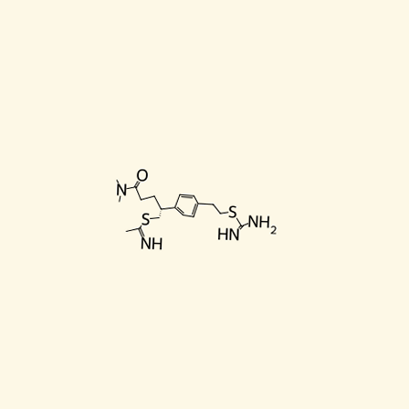 CC(=N)SC[C@H](CCC(=O)N(C)C)c1ccc(CCSC(=N)N)cc1